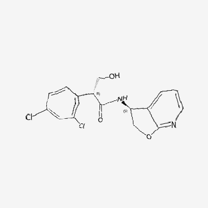 O=C(N[C@@H]1COc2ncccc21)[C@@H](CO)c1ccc(Cl)cc1Cl